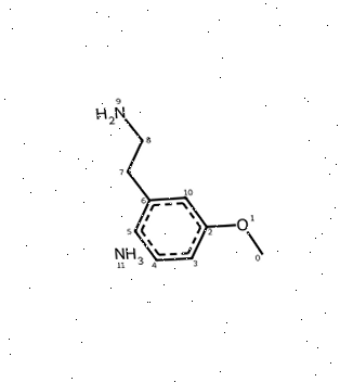 COc1cccc(CCN)c1.N